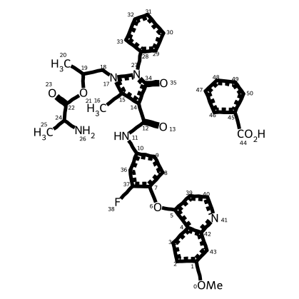 COc1ccc2c(Oc3ccc(NC(=O)c4c(C)n(CC(C)OC(=O)C(C)N)n(-c5ccccc5)c4=O)cc3F)ccnc2c1.O=C(O)c1ccccc1